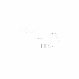 CCCC1=CC=CON1